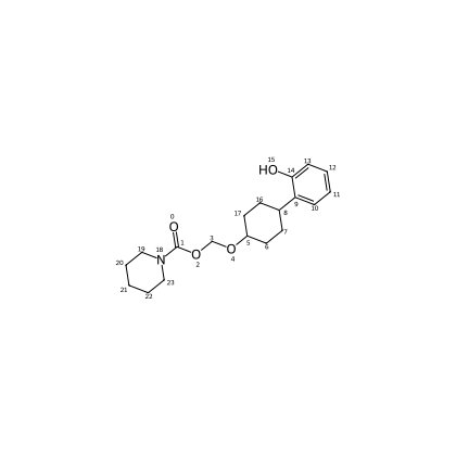 O=C(OCOC1CCC(c2ccccc2O)CC1)N1CCCCC1